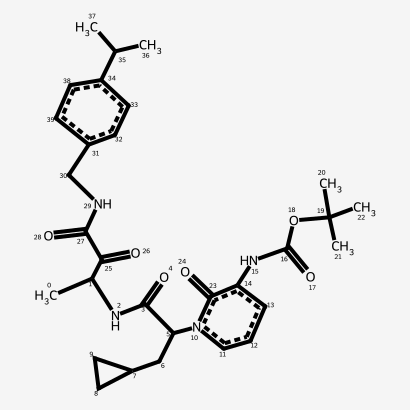 CC(NC(=O)C(CC1CC1)n1cccc(NC(=O)OC(C)(C)C)c1=O)C(=O)C(=O)NCc1ccc(C(C)C)cc1